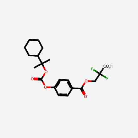 CC(C)(OC(=O)Oc1ccc(C(=O)OCC(F)(F)C(=O)O)cc1)C1CCCCC1